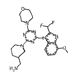 COc1cccc2c1nc(C(F)F)n2-c1nc(N2CCOCC2)nc(N2CCCC(CN)C2)n1